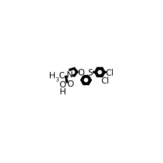 CC(C(=O)O)N1CC[C@@H](Oc2ccccc2Sc2ccc(Cl)c(Cl)c2)C1